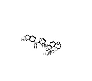 NS(=O)(=O)c1c(Nc2ccnc(Nc3ccc4c(c3)NCC4)n2)ccc2c1OCCO2